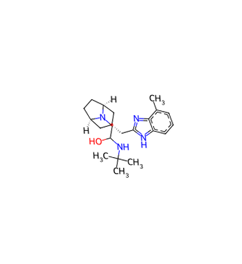 Cc1cccc2[nH]c(C[C@@H]3C[C@H]4CC[C@@H](C3)N4CC(O)NC(C)(C)C)nc12